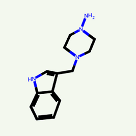 NN1CCN(Cc2c[nH]c3ccccc23)CC1